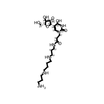 NCCCNCCCCNCCCNC(=O)CCN1C=C([C@@H]2O[C@H](CO)C(O)[C@@H]2O)C(O)NC1=O